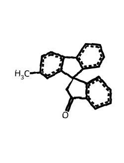 Cc1ccc2c(c1)[C@]1(CC(=O)c3ccccc31)c1ccccc1-2